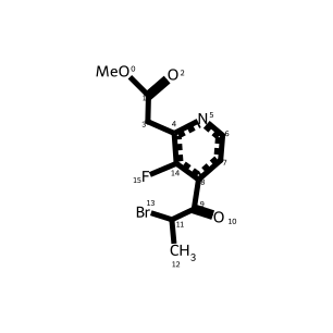 COC(=O)Cc1nccc(C(=O)C(C)Br)c1F